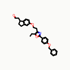 CCc1oc(-c2ccc(OCc3ccccc3)cc2)nc1CCOc1ccc2c(c1)CCC2CC=O